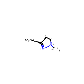 CN1C[CH]C([N+](=O)[O-])=N1